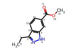 CCc1n[nH]c2cc(C(=O)OC)ccc12